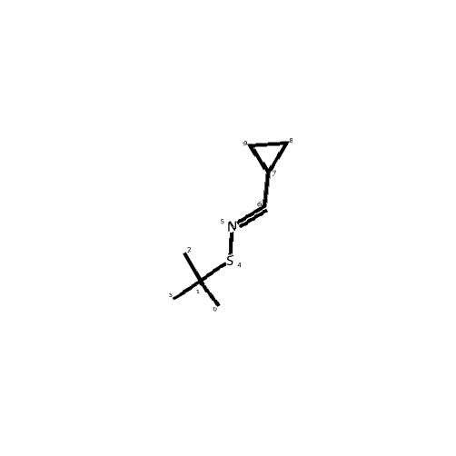 CC(C)(C)S/N=C/C1CC1